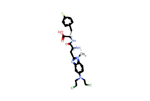 Cn1c(C[C@H](N)C(=O)N[C@@H](Cc2ccc(F)cc2)C(=O)O)nc2cc(N(CCCl)CCCl)ccc21